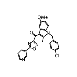 COc1ccc2c(c1)c(C(=O)c1noc(-c3cccnc3)n1)c(C)n2Cc1ccc(Cl)cc1